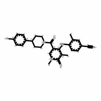 Cc1cc(C#N)ccc1Nc1c(C(=O)N2CCC(c3ccc(F)cc3)CC2)cn(C)c(=O)c1C